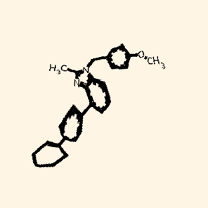 COc1ccc(Cn2c(C)nc3c(-c4ccc(C5=CCCCC5)cc4)cccc32)cc1